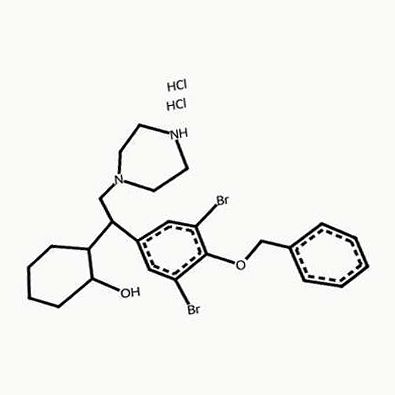 Cl.Cl.OC1CCCCC1C(CN1CCNCC1)c1cc(Br)c(OCc2ccccc2)c(Br)c1